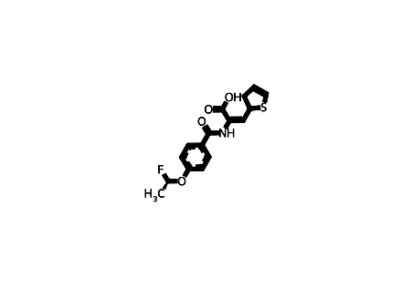 C[C@@H](F)Oc1ccc(C(=O)N/C(=C/C2CC=CS2)C(=O)O)cc1